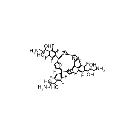 NC[C@H](O)C(O)c1c(F)c(F)c(C2=C3C=CC(=N3)C(c3c(F)c(F)c(C(O)[C@@H](O)CN)c(F)c3F)=C3C=CC(=N3)c3ccc([nH]3)C(c3c(F)c(F)c(C(O)[C@@H](O)CN)c(F)c3F)=C3C=CC2=N3)c(F)c1F